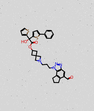 O=Cc1cc2nnn(CCCN3CC4(CC(OC(=O)[C@](O)(c5cccs5)c5ccc(-c6ccccc6)s5)C4)C3)c2c2c1CCC2